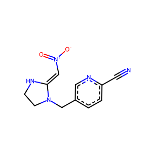 N#Cc1ccc(CN2CCN/C2=C\[N+](=O)[O-])cn1